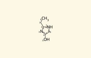 CCc1nc(O)c[nH]1